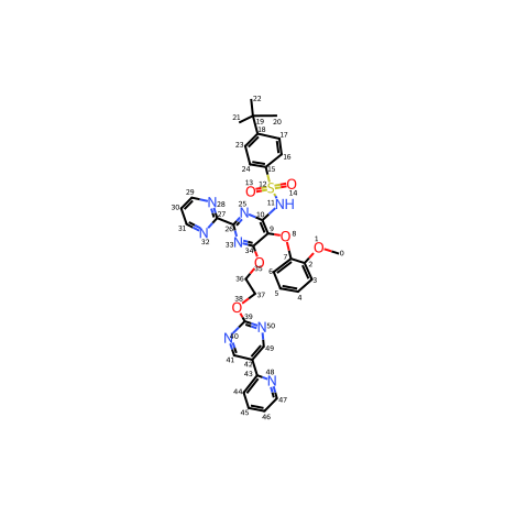 COc1ccccc1Oc1c(NS(=O)(=O)c2ccc(C(C)(C)C)cc2)nc(-c2ncccn2)nc1OCCOc1ncc(-c2ccccn2)cn1